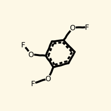 FOc1ccc(OF)c(OF)c1